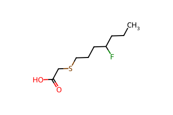 CCCC(F)CCCSCC(=O)O